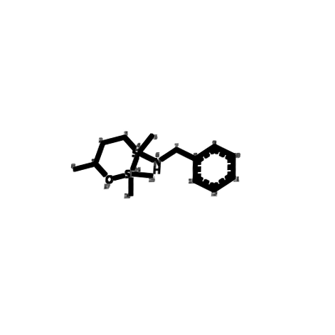 CC1CC[Si](C)(NCc2ccccc2)[Si](C)(C)O1